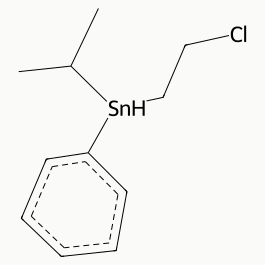 C[CH](C)[SnH]([CH2]CCl)[c]1ccccc1